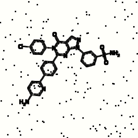 Nc1ccc(-c2ccc(-c3nc4c(cnn4-c4cccc(S(N)(=O)=O)c4)c(=O)n3-c3ccc(Cl)cc3)cc2)nc1